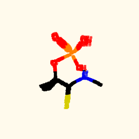 C=C(OP(=O)(O)O)C(=S)NC